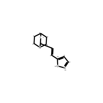 C(=CC1CC2CCN1CC2)c1ccno1